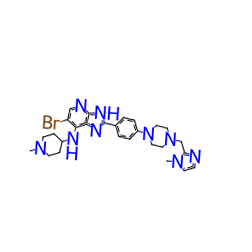 CN1CCC(Nc2c(Br)cnc3[nH]c(-c4ccc(N5CCN(Cc6nccn6C)CC5)cc4)nc23)CC1